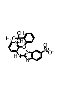 CC(C)(C)c1ccccc1Oc1ncccc1Nc1nc2ccc([N+](=O)[O-])cc2s1